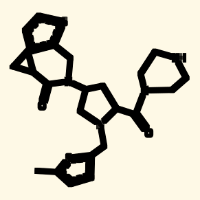 Cc1ccc(CN2CC(N(Cc3cccs3)C(=O)C3CC3)CC2C(=O)N2CCNCC2)s1